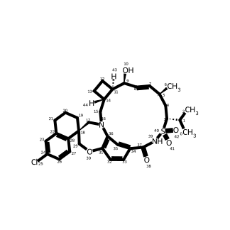 CC(C)[C@H]1C[C@H](C)/C=C/[C@H](O)[C@@H]2CC[C@H]2CN2C[C@@]3(CCCc4cc(Cl)ccc43)COc3ccc(cc32)C(=O)NS1(=O)=O